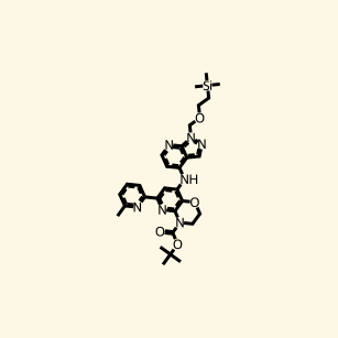 Cc1cccc(-c2cc(Nc3ccnc4c3cnn4COCC[Si](C)(C)C)c3c(n2)N(C(=O)OC(C)(C)C)CCO3)n1